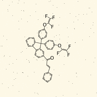 O=C(C=Cc1ccccc1)c1ccc2c(c1)C(c1ccc(OC(F)=C(F)F)cc1)(c1ccc(OC(F)=C(F)F)cc1)c1ccccc1-2